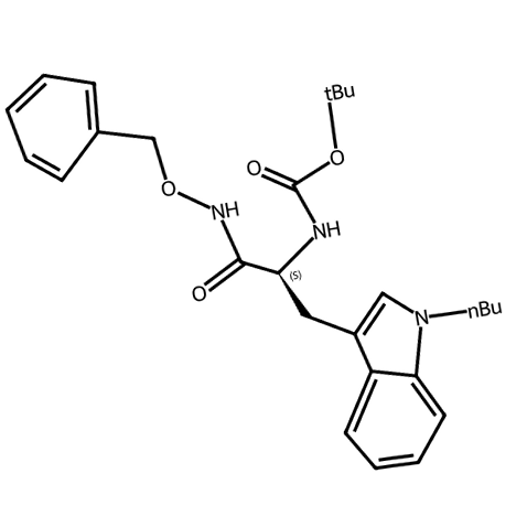 CCCCn1cc(C[C@H](NC(=O)OC(C)(C)C)C(=O)NOCc2ccccc2)c2ccccc21